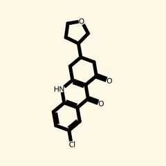 O=C1CC(C2CCOC2)Cc2[nH]c3ccc(Cl)cc3c(=O)c21